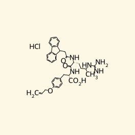 C=CCOc1ccc(C[C@H](NC(=O)[C@@H](CCC(C)NC(=N)N)NC(=O)CC2c3ccccc3-c3ccccc32)C(=O)O)cc1.Cl